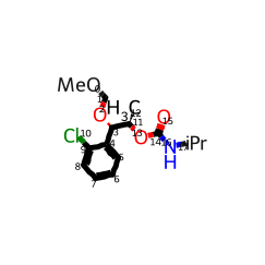 COCO[C@@H](c1ccccc1Cl)[C@H](C)OC(=O)NC(C)C